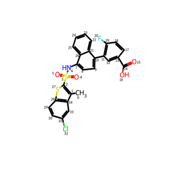 Cc1c(S(=O)(=O)Nc2ccc(-c3cc(C(=O)O)ccc3F)c3ccccc23)sc2ccc(Cl)cc12